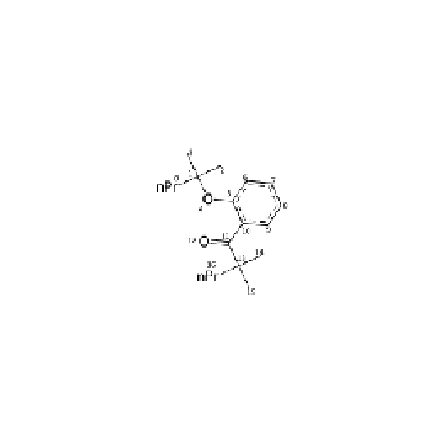 CCCC(C)(C)Oc1ccccc1C(=O)C(C)(C)CCC